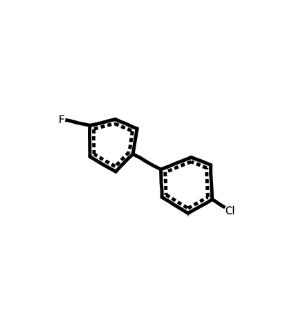 Fc1ccc(-c2c[c]c(Cl)cc2)cc1